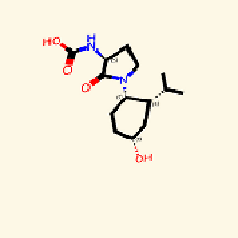 CC(C)[C@@H]1C[C@H](O)CC[C@@H]1N1CC[C@H](NC(=O)O)C1=O